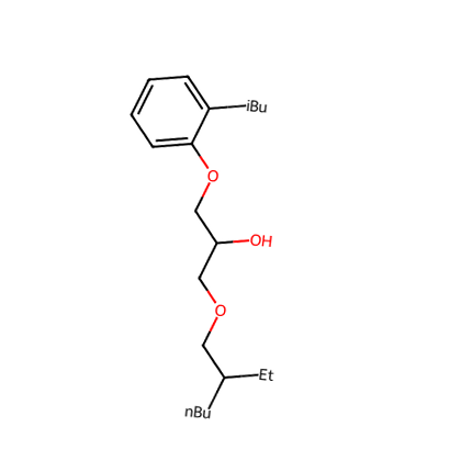 CCCCC(CC)COCC(O)COc1ccccc1C(C)CC